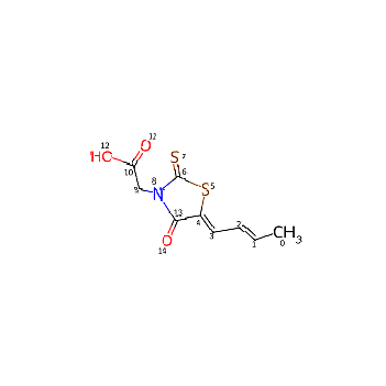 CC=CC=C1SC(=S)N(CC(=O)O)C1=O